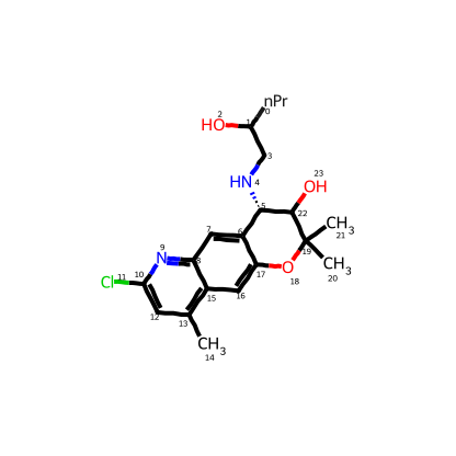 CCCC(O)CN[C@H]1c2cc3nc(Cl)cc(C)c3cc2OC(C)(C)C1O